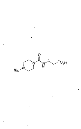 CC(C)(C)N1CCN(C(=O)NCCC(=O)O)CC1